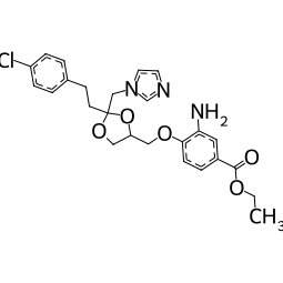 CCOC(=O)c1ccc(OCC2COC(CCc3ccc(Cl)cc3)(Cn3ccnc3)O2)c(N)c1